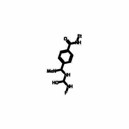 CCNC(=O)c1ccc(C(NC)NC(O)NF)cc1